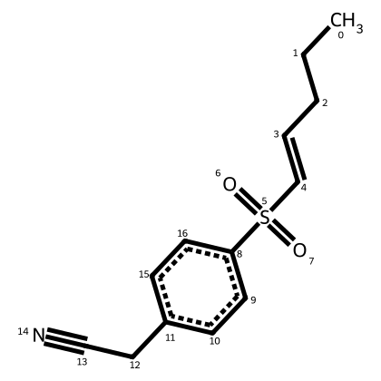 CCCC=CS(=O)(=O)c1ccc(CC#N)cc1